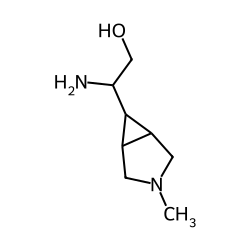 CN1CC2C(C1)C2C(N)CO